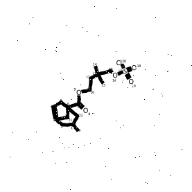 CC1CC2=CCC(C(=O)OCCC(C)(C)COS(=O)(=O)Cl)(C2)C1